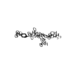 CC(C)(C)OC(=O)CON=C(C(=O)NC1C(=O)N2CC(Cl)(C(=O)OCc3ccc([N+](=O)[O-])cc3)CS[C@H]12)c1csc(NC=O)n1